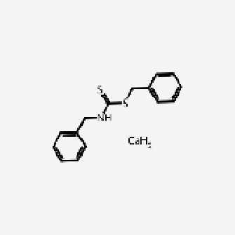 S=C(NCc1ccccc1)SCc1ccccc1.[CaH2]